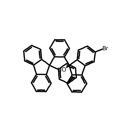 OC1(c2ccccc2C2(c3ccccc3)c3ccccc3-c3ccccc32)c2ccccc2-c2cc(Br)ccc21